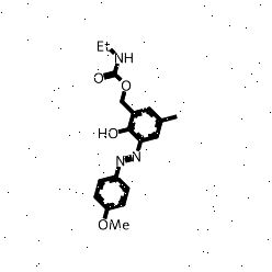 [CH2]CNC(=O)OCc1cc(C)cc(/N=N/c2ccc(OC)cc2)c1O